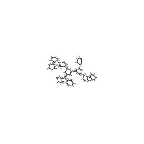 c1ccc(-c2cc(-c3cc(-c4ccc5c6ccccc6c6ccccc6c5c4)cc(-n4c5ccccc5c5ccccc54)c3)nc(-c3ccc4sc5ccccc5c4c3)c2)cc1